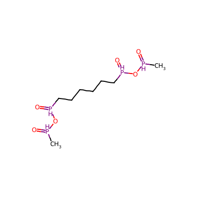 C[PH](=O)O[PH](=O)CCCCCC[PH](=O)O[PH](C)=O